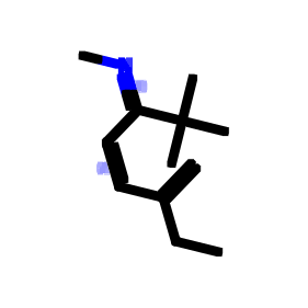 C=C(/C=C\C(=N/C)C(C)(C)C)CC